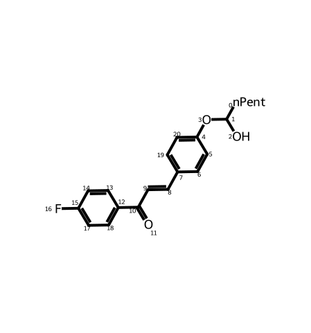 CCCCCC(O)Oc1ccc(C=CC(=O)c2ccc(F)cc2)cc1